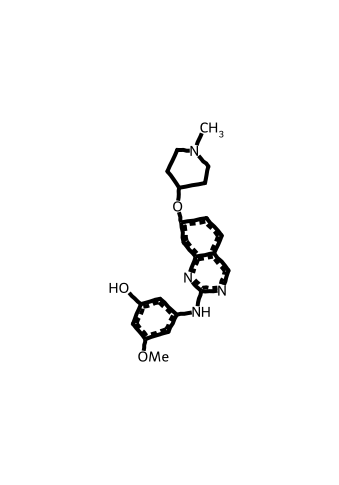 COc1cc(O)cc(Nc2ncc3ccc(OC4CCN(C)CC4)cc3n2)c1